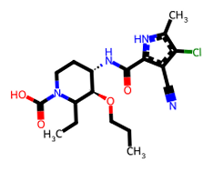 CCCO[C@H]1C(CC)N(C(=O)O)CC[C@@H]1NC(=O)c1[nH]c(C)c(Cl)c1C#N